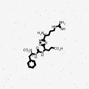 N=C(N)NCCC[C@H](N)c1noc(C(CCC(=O)O)NC(=O)N[C@@H](Cc2ccccc2)C(=O)O)n1